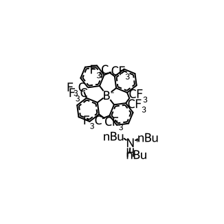 CCCC[NH+](CCCC)CCCC.FC(F)(F)c1cccc(C(F)(F)F)c1[B-](c1c(C(F)(F)F)cccc1C(F)(F)F)(c1c(C(F)(F)F)cccc1C(F)(F)F)c1c(C(F)(F)F)cccc1C(F)(F)F